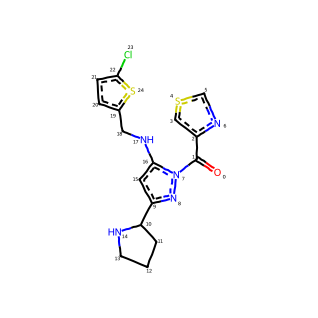 O=C(c1cscn1)n1nc(C2CCCN2)cc1NCc1ccc(Cl)s1